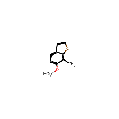 Cc1c(OC(=O)O)ccc2ccsc12